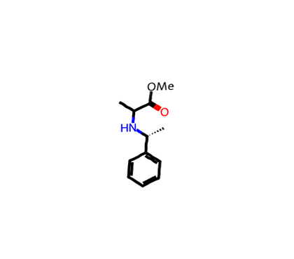 COC(=O)C(C)N[C@H](C)c1ccccc1